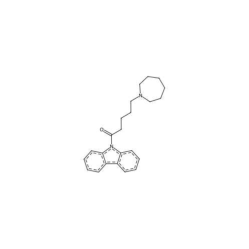 O=C(CCCCN1CCCCCC1)n1c2ccccc2c2ccccc21